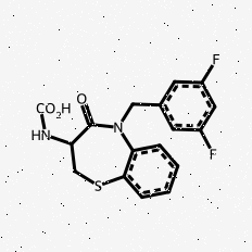 O=C(O)NC1CSc2ccccc2N(Cc2cc(F)cc(F)c2)C1=O